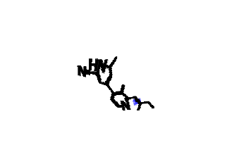 CC/C(C)=C/c1nccc(C2=CC(C)NC(C#N)=C2)c1C